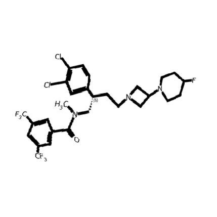 CN(C[C@@H](CCN1CC(N2CCC(F)CC2)C1)c1ccc(Cl)c(Cl)c1)C(=O)c1cc(C(F)(F)F)cc(C(F)(F)F)c1